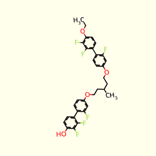 CCOc1ccc(-c2ccc(OCCC(C)CCOc3ccc(-c4ccc(O)c(F)c4F)c(F)c3)cc2F)c(F)c1F